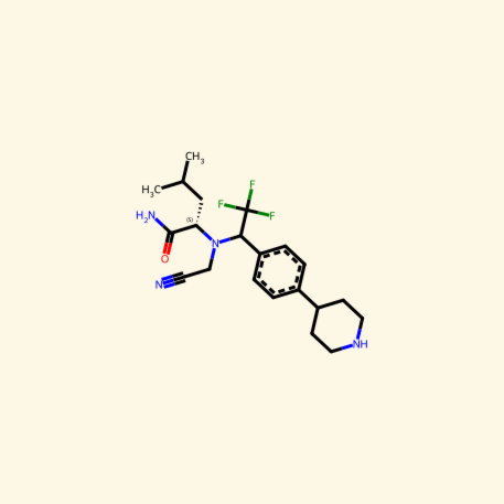 CC(C)C[C@@H](C(N)=O)N(CC#N)C(c1ccc(C2CCNCC2)cc1)C(F)(F)F